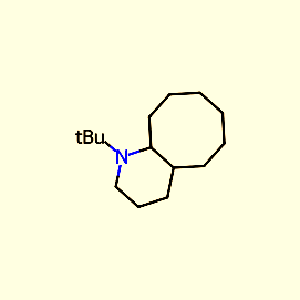 CC(C)(C)N1CCCC2CCCCCCC21